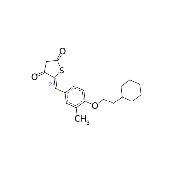 Cc1cc(/C=C2\SC(=O)CC2=O)ccc1OCCC1CCCCC1